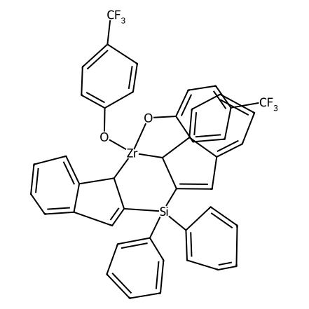 FC(F)(F)c1ccc([O][Zr]2([O]c3ccc(C(F)(F)F)cc3)[CH]3C(=Cc4ccccc43)[Si](c3ccccc3)(c3ccccc3)C3=Cc4ccccc4[CH]32)cc1